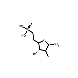 B[C@@H]1OC(COP(=O)(O)O)[C@@H](O)C1C